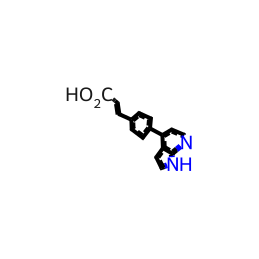 O=C(O)/C=C/c1ccc(-c2ccnc3[nH]ccc23)cc1